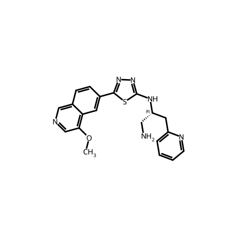 COc1cncc2ccc(-c3nnc(N[C@@H](CN)Cc4ccccn4)s3)cc12